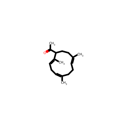 CC(=O)C1CC/C(C)=C/CCC(C)=CC/C=C/1C